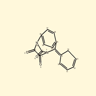 O=C1C(=O)N2C(=O)N1C(=C1[C]=CC=[C]C1)c1ccc2cc1